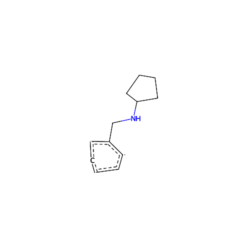 [c]1ccccc1CNC1CCCC1